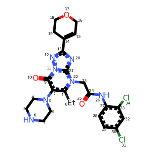 CCc1c(N2CCNCC2)c(=O)n2nc(C3=CCOCC3)nc2n1CC(=O)Nc1ccc(Cl)cc1Cl